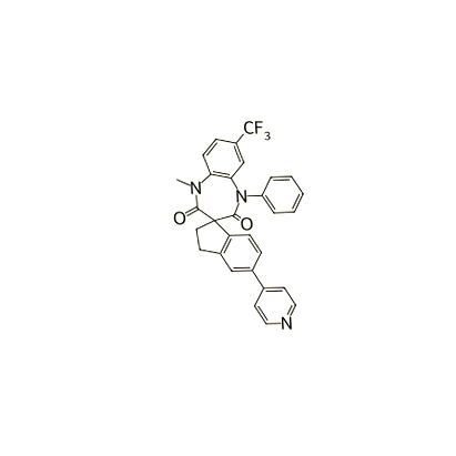 CN1C(=O)C2(CCc3cc(-c4ccncc4)ccc32)C(=O)N(c2ccccc2)c2cc(C(F)(F)F)ccc21